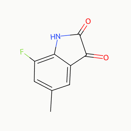 Cc1cc(F)c2c(c1)C(=O)C(=O)N2